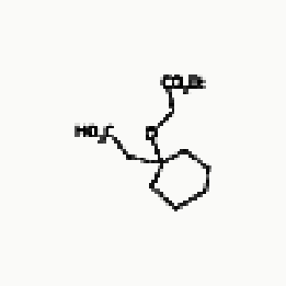 CCOC(=O)COC1(CC(=O)O)CCCCC1